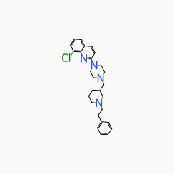 Clc1cccc2ccc(N3CCN(C[C@@H]4CCCN(CCc5ccccc5)C4)CC3)nc12